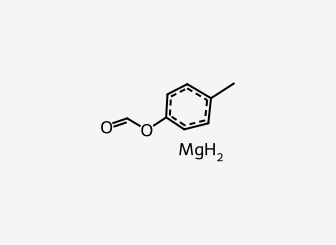 Cc1ccc(OC=O)cc1.[MgH2]